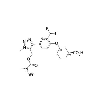 CCCN(C)C(=O)OCc1c(-c2ccc(O[C@H]3CCC[C@H](C(=O)O)C3)c(C(F)F)n2)nnn1C